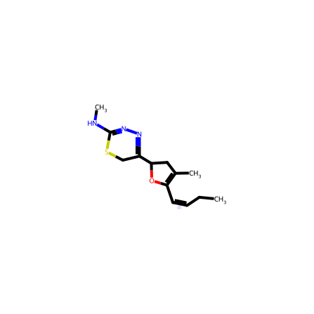 CC/C=C\C1=C(C)CC(C2=NN=C(NC)SC2)O1